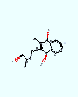 CC1=C(CCC(C)C=O)C(=O)c2ccccc2C1=O